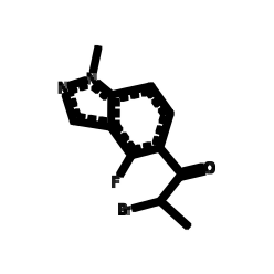 CC(Br)C(=O)c1ccc2c(cnn2C)c1F